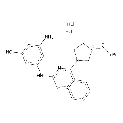 CCCN[C@H]1CCN(c2nc(Nc3cc(N)cc(C#N)c3)nc3ccccc23)C1.Cl.Cl